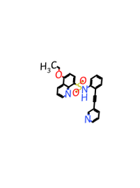 CCOc1ccc(S(=O)(=O)Nc2ccccc2C#Cc2cccnc2)c2ncccc12